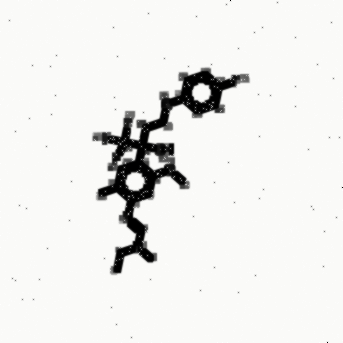 CCN(C)/C=N/c1cc(OC)c(C(O)(CCOc2ccc(F)cc2)C(F)(F)F)cc1C